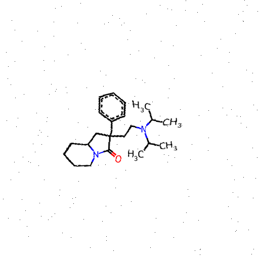 CC(C)N(CCC1(c2ccccc2)CC2CCCCN2C1=O)C(C)C